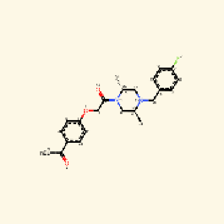 CCCCC(=O)c1ccc(OCC(=O)N2C[C@H](C)N(Cc3ccc(F)cc3)C[C@H]2C)cc1